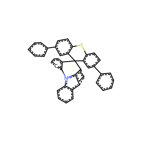 c1ccc(-c2ccc3c(c2)C2(c4cc(-c5ccccc5)ccc4S3)c3ccccc3-n3c4ccccc4c4cccc2c43)cc1